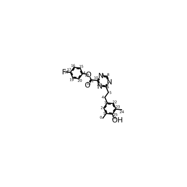 Cc1cc(CCc2ncnc(C(=O)Oc3ccc(F)cc3)n2)cc(C)c1O